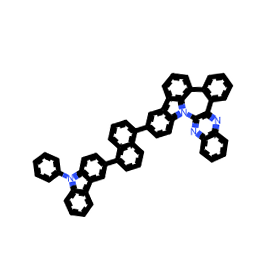 c1ccc(-n2c3ccccc3c3cc(-c4cccc5c(-c6ccc7c(c6)c6cccc8c6n7-c6nc7ccccc7nc6-c6ccccc6-8)cccc45)ccc32)cc1